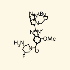 COc1cc(C(=O)N2C[C@H](N)C[C@@H](F)C2)cc2nc(-c3cc4cnn(C(C)(C)C)c4n3CC3CCC3)n(C)c12